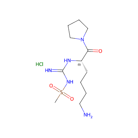 CS(=O)(=O)NC(=N)N[C@@H](CCCCN)C(=O)N1CCCC1.Cl